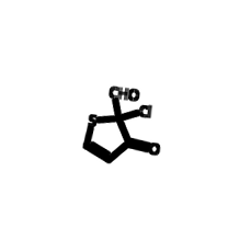 O=CC1(Cl)SC=CC1=O